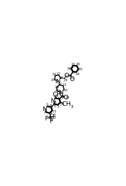 Cc1cc(-c2cncc(C(F)(F)F)c2)nc(C)c1C(=O)N1CCC(N2CCC[C@H]2COC(=O)c2ccccc2)CC1